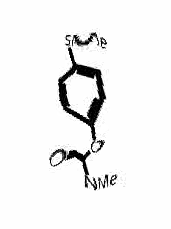 CNC(=O)Oc1ccc(SC)cc1